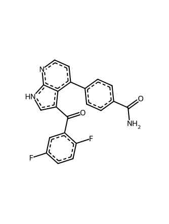 NC(=O)c1ccc(-c2ccnc3[nH]cc(C(=O)c4cc(F)ccc4F)c23)cc1